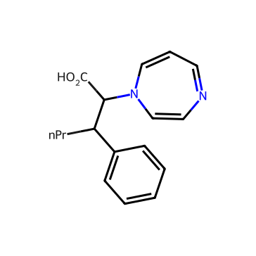 CCCC(c1ccccc1)C(C(=O)O)N1C=CC=NC=C1